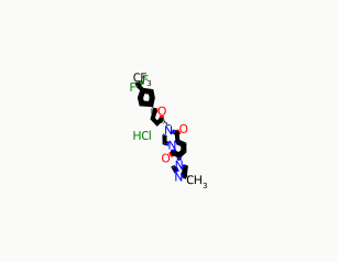 Cc1cn(-c2ccc3n(c2=O)CCN(C[C@@H]2CC[C@H](c4ccc(C(F)(F)C(F)(F)F)cc4)O2)C3=O)cn1.Cl